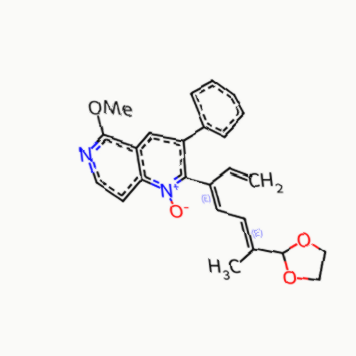 C=C/C(=C\C=C(/C)C1OCCO1)c1c(-c2ccccc2)cc2c(OC)nccc2[n+]1[O-]